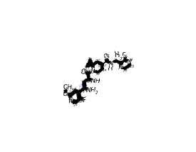 COc1cc(/C(N)=C/C(=N)C(=O)N2CC[C@H](C(=O)NCc3nccnc3C)CC23CC3)c(F)cn1